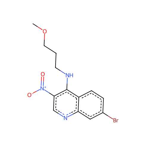 COCCCNc1c([N+](=O)[O-])cnc2cc(Br)ccc12